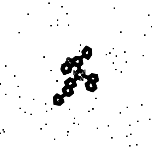 c1ccc(-c2ccc3cc(-c4nc(-c5cccc6ccccc56)nc(-c5cc(-c6ccccc6)cc6oc7ccccc7c56)n4)ccc3c2)cc1